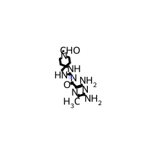 Cc1nc(C(=O)/N=C2\NCC3(CCN(C=O)CC3)N2)c(N)nc1N